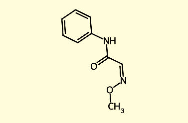 CO/N=C\C(=O)Nc1ccccc1